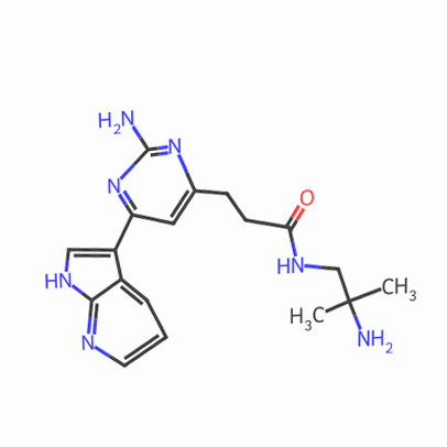 CC(C)(N)CNC(=O)CCc1cc(-c2c[nH]c3ncccc23)nc(N)n1